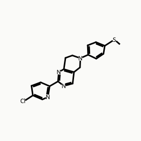 CSc1ccc(N2CCc3nc(-c4ccc(Cl)cn4)ncc3C2)cc1